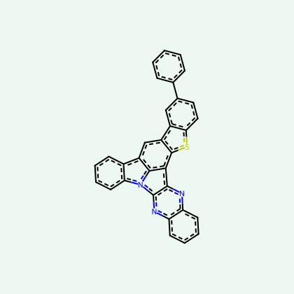 c1ccc(-c2ccc3sc4c(cc5c6ccccc6n6c7nc8ccccc8nc7c4c56)c3c2)cc1